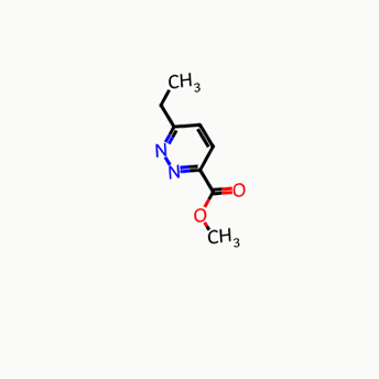 CCc1ccc(C(=O)OC)nn1